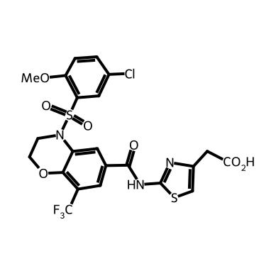 COc1ccc(Cl)cc1S(=O)(=O)N1CCOc2c1cc(C(=O)Nc1nc(CC(=O)O)cs1)cc2C(F)(F)F